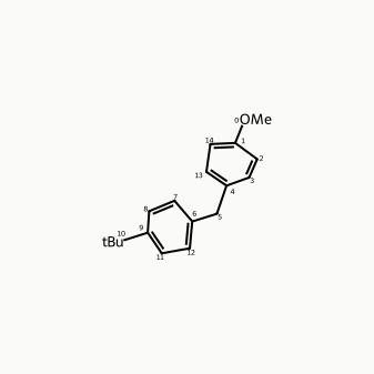 COc1ccc(Cc2ccc(C(C)(C)C)cc2)cc1